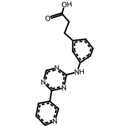 O=C(O)CCc1cccc(Nc2ncnc(-c3cccnc3)n2)c1